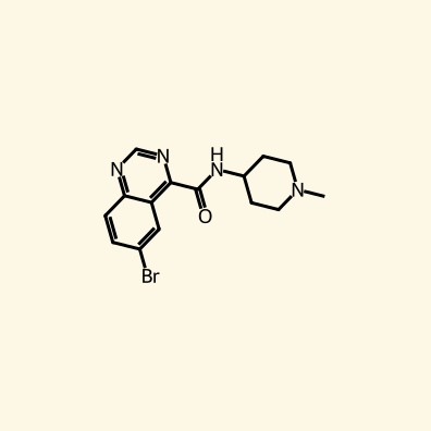 CN1CCC(NC(=O)c2ncnc3ccc(Br)cc23)CC1